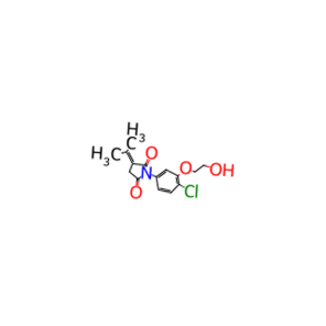 CC(C)=C1CC(=O)N(c2ccc(Cl)c(OCCO)c2)C1=O